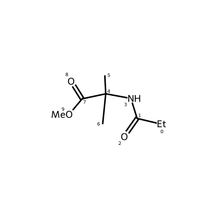 CCC(=O)NC(C)(C)C(=O)OC